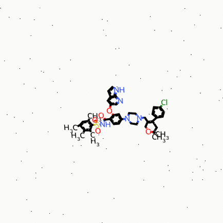 Cc1cc(C)c(S(=O)(=O)NC(=O)c2ccc(N3CCN(CC4=C(c5ccc(Cl)cc5)CC(C)(C)OC4)CC3)cc2Oc2cnc3[nH]ccc3c2)c(C)c1C